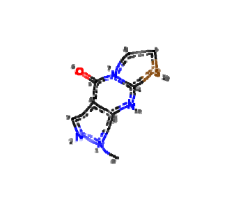 Cn1ncc2c(=O)n3ccsc3nc21